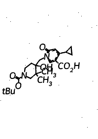 CC(C)(C)OC(=O)N1CCC(O)(Cn2cc(C(=O)O)c(C3CC3)cc2=O)C(C)(C)C1